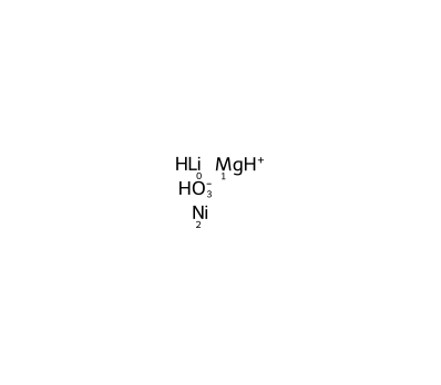 [LiH].[MgH+].[Ni].[OH-]